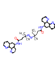 CC(C#N)(CCC(=O)Nc1cc2cccnc2c2ncccc12)N=NC(C)(C#N)CCC(=O)Nc1cc2cccnc2c2ncccc12